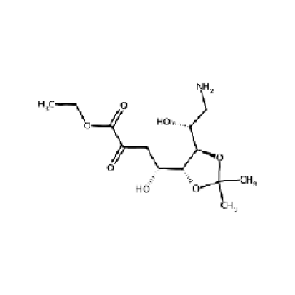 CCOC(=O)C(=O)C[C@@H](O)[C@H]1OC(C)(C)O[C@@H]1[C@H](O)CN